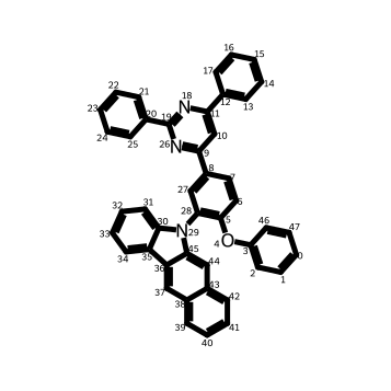 c1ccc(Oc2ccc(-c3cc(-c4ccccc4)nc(-c4ccccc4)n3)cc2-n2c3ccccc3c3cc4ccccc4cc32)cc1